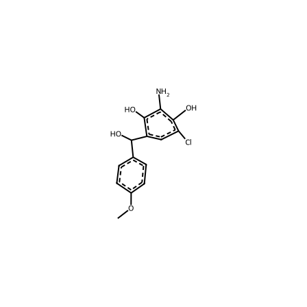 COc1ccc(C(O)c2cc(Cl)c(O)c(N)c2O)cc1